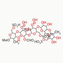 COC1OC(COS(=O)(=O)O)C(OC2OC(OC=O)C(OC3OC(COS(=O)(=O)O)C(OC4OC(C(=O)O)C(OC5OC(COS(=O)(=O)O)C(O)C(O)C5C)C(O)C4O)C(OOO)C3C)C(O)C2OOO)C(O)C1C